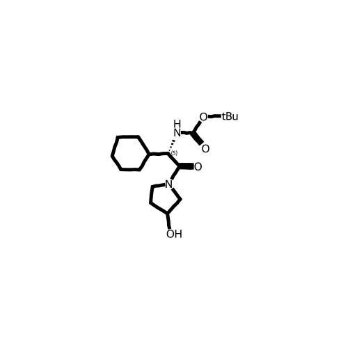 CC(C)(C)OC(=O)N[C@H](C(=O)N1CCC(O)C1)C1CCCCC1